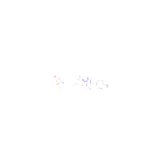 CCS(=O)(=O)NC[C@H]1CC[C@H](Nc2nc(-c3ccc(F)cc3)no2)CC1